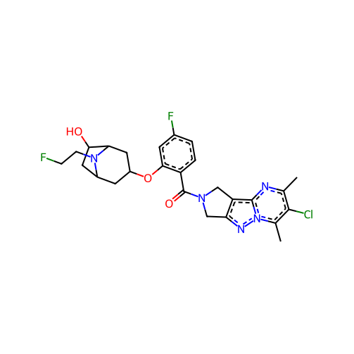 Cc1nc2c3c(nn2c(C)c1Cl)CN(C(=O)c1ccc(F)cc1OC1CC2CC(O)C(C1)N2CCF)C3